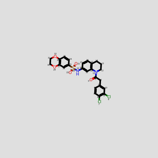 O=C(Cc1ccc(Cl)c(Cl)c1)N1CCCc2ccc(NS(=O)(=O)c3ccc4c(c3)OCCO4)cc21